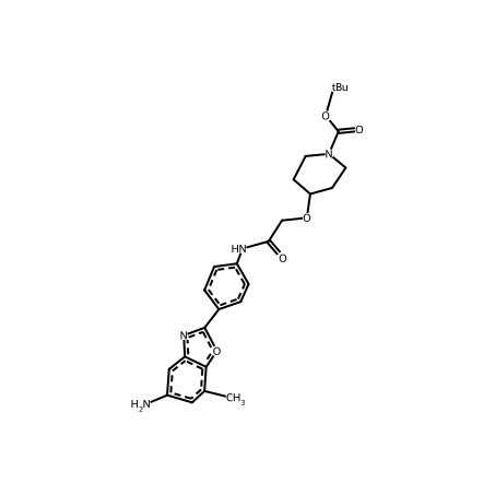 Cc1cc(N)cc2nc(-c3ccc(NC(=O)COC4CCN(C(=O)OC(C)(C)C)CC4)cc3)oc12